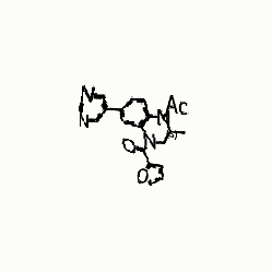 CC(=O)N1c2ccc(-c3cncnc3)cc2N(C(=O)c2ccco2)C[C@@H]1C